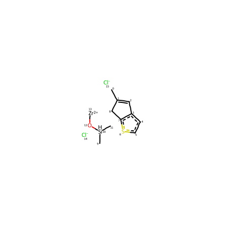 CC1=Cc2ccsc2C1.C[SiH](C)[O][Zr+2].[Cl-].[Cl-]